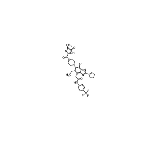 CCc1c(N2CCN(C(=O)c3nn(C)c(=O)[nH]3)CC2)c(=O)n2nc(C3=CCCC3)nc2n1CC(=O)Nc1ccc(C(F)(F)F)cc1